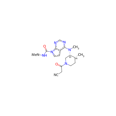 CNNC(=O)n1ccc2c(N(C)[C@H]3CN(C(=O)CC#N)CC[C@H]3C)ncnc21